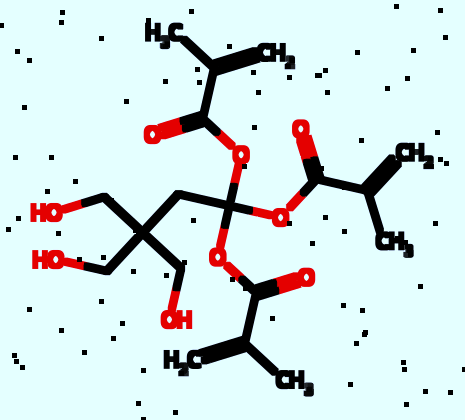 C=C(C)C(=O)OC(CC(CO)(CO)CO)(OC(=O)C(=C)C)OC(=O)C(=C)C